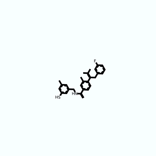 C=C(NCc1cc(C)cc(S)c1)c1ccc(C(Cc2cccc(F)c2)=C(C)C)c(C)c1